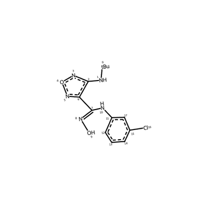 CC(C)(C)Nc1nonc1/C(=N/O)Nc1cccc(Cl)c1